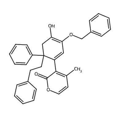 Cc1ccoc(=O)c1C1=CC(OCc2ccccc2)=C(O)CC1(CCc1ccccc1)c1ccccc1